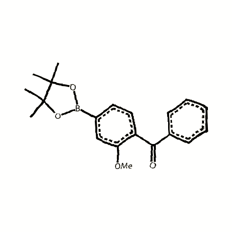 COc1cc(B2OC(C)(C)C(C)(C)O2)ccc1C(=O)c1ccccc1